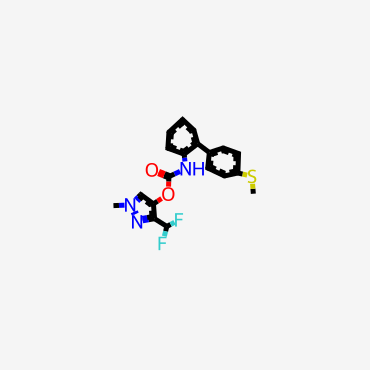 CSc1ccc(-c2ccccc2NC(=O)Oc2cn(C)nc2C(F)F)cc1